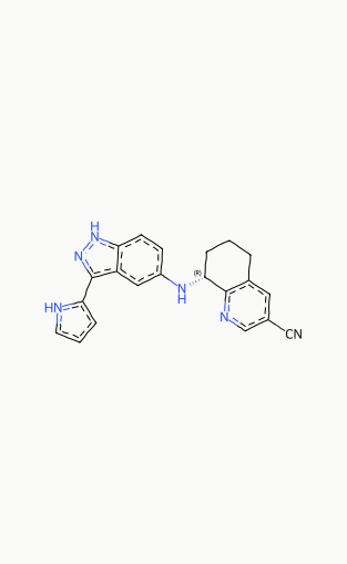 N#Cc1cnc2c(c1)CCC[C@H]2Nc1ccc2[nH]nc(-c3ccc[nH]3)c2c1